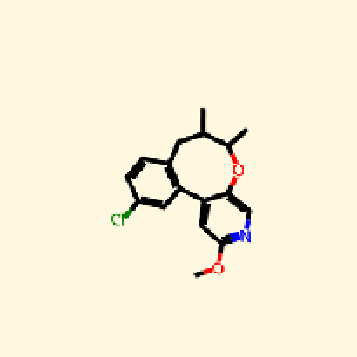 COc1cc2c(cn1)OC(C)C(C)Cc1ccc(Cl)cc1-2